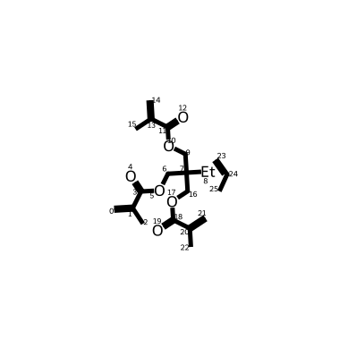 C=C(C)C(=O)OCC(CC)(COC(=O)C(=C)C)COC(=O)C(=C)C.C=CC